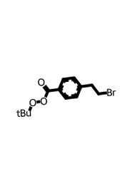 CC(C)(C)OOC(=O)c1ccc(CCBr)cc1